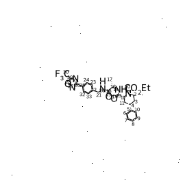 CCOC(=O)N1CC[C@H](c2ccccc2)C[C@@H]1C(=O)N[C@@H](C)C(=O)NCc1ccc(-c2noc(C(F)(F)F)n2)cc1